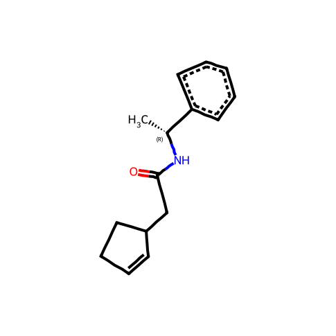 C[C@@H](NC(=O)CC1C=CCC1)c1ccccc1